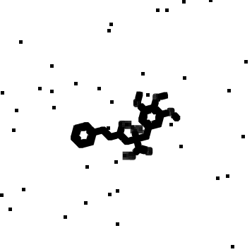 COc1cc(CC(N)(CC(O)CCc2ccccc2)C(=O)O)cc(OC)c1OC